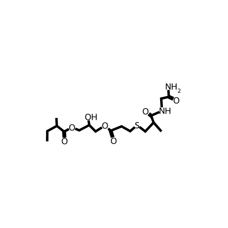 CCC(C)C(=O)OCC(O)COC(=O)CCSCC(C)C(=O)NCC(N)=O